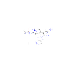 CN1CC[C@H](CNc2cnc(C#N)cc2-c2ccn3nc(NC(=O)C4CC4)cc3c2)C1